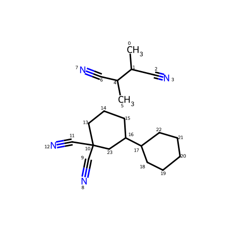 CC(C#N)C(C)C#N.N#CC1(C#N)CCCC(C2CCCCC2)C1